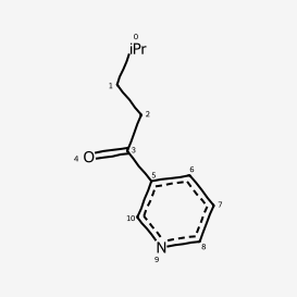 CC(C)CCC(=O)c1cccnc1